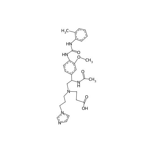 COc1cc(C(CN(CCCn2ccnc2)CCC(=O)O)NC(C)=O)ccc1NC(=O)Nc1ccccc1C